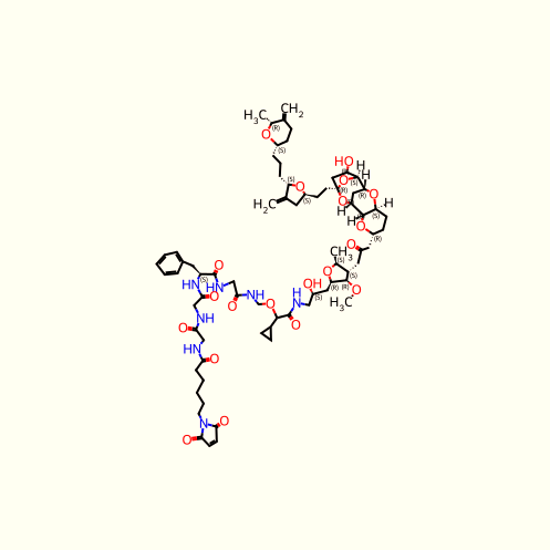 C=C1C[C@H](CC[C@]23C[C@@H](O)[C@H](O2)[C@H]2C[C@@H](O3)[C@H]3O[C@@H](CC(=O)C[C@@H]4[C@@H](OC)[C@@H](C[C@H](O)CNC(=O)C(OCNC(=O)CNC(=O)[C@H](Cc5ccccc5)NC(=O)CNC(=O)CNC(=O)CCCCCN5C(=O)C=CC5=O)C5CC5)O[C@H]4C)CC[C@@H]3O2)O[C@H]1CCC[C@H]1CCC(=C)[C@@H](C)O1